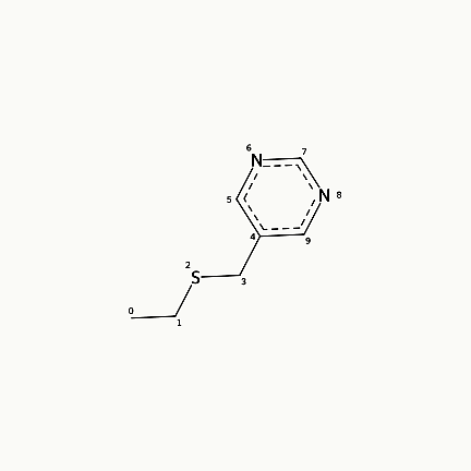 CCSCc1cncnc1